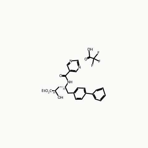 CCOC(=O)[C@H](O)C[C@@H](Cc1ccc(-c2ccccc2)cc1)NC(=O)c1cncnc1.O=C(O)C(F)(F)F